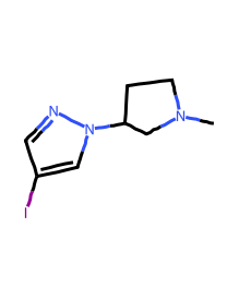 CN1CCC(n2cc(I)cn2)C1